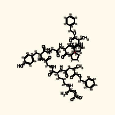 C[C@@H](NC(=O)[C@@H]1CCCN1C(=O)[C@H](Cc1c[nH]cn1)NC(=O)CNC(=O)[C@H](Cc1ccc(O)cc1)NC(=O)CNC(=O)[C@H](CCCN/C(N)=N/[N+](=O)[O-])NC(=O)CN(C)C(=O)OCc1ccccc1)C(=O)OCc1ccccc1